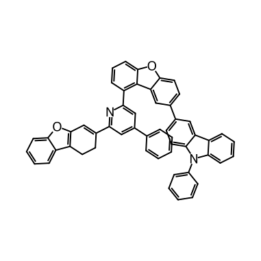 C1=C(c2cc(-c3ccccc3)cc(-c3cccc4oc5ccc(-c6ccc7c(c6)c6ccccc6n7-c6ccccc6)cc5c34)n2)CCc2c1oc1ccccc21